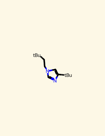 CC(C)(C)CCn1cnc(C(C)(C)C)c1